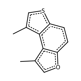 Cc1coc2ccc3scc(C)c3c12